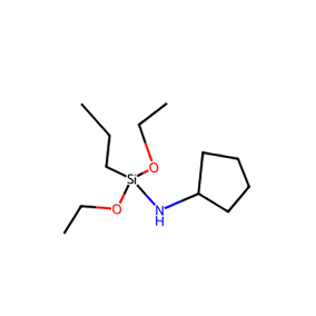 CCC[Si](NC1CCCC1)(OCC)OCC